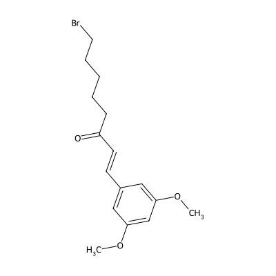 COc1cc(C=CC(=O)CCCCCBr)cc(OC)c1